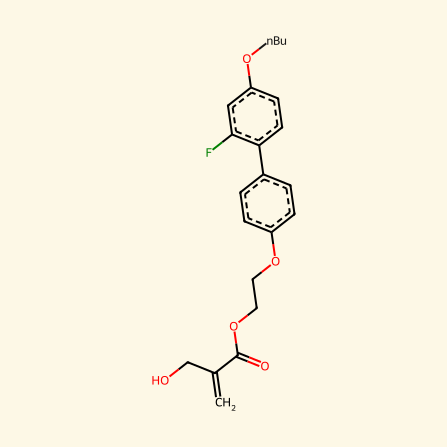 C=C(CO)C(=O)OCCOc1ccc(-c2ccc(OCCCC)cc2F)cc1